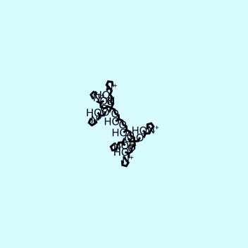 C[N+]1(CC(O)COCC(COCC(O)COCC(O)COCC(COCC(O)C[N+]2(C)CCCC2)(COCC(O)C[N+]2(C)CCCC2)COCC(O)C[N+]2(C)CCCC2)(COCC(O)C[N+]2(C)CCCC2)COCC(O)C[N+]2(C)CCCC2)CCCC1